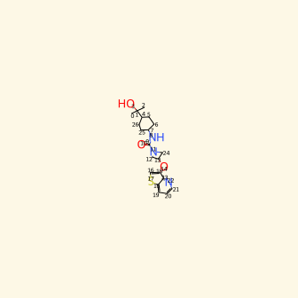 CC(C)(O)C1CCC(NC(=O)N2CC(Oc3csc4cccnc34)C2)CC1